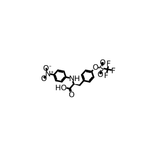 O=C(O)[C@H](Cc1ccc(OS(=O)(=O)C(F)(F)F)cc1)Nc1ccc([N+](=O)[O-])cc1